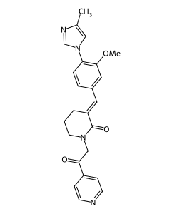 COc1cc(C=C2CCCN(CC(=O)c3ccncc3)C2=O)ccc1-n1cnc(C)c1